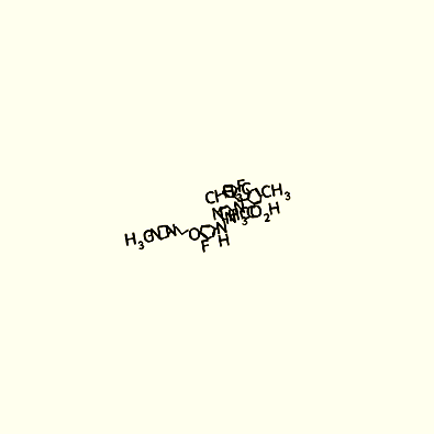 Cc1cc(C)c(C(c2cc(Cl)ccc2F)N(C(=O)O)c2ccnc(Nc3ccc(OCCCN4CCN(C)CC4)c(F)c3)n2)c(C)c1